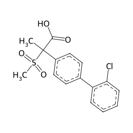 CC(C(=O)O)(c1ccc(-c2ccccc2Cl)cc1)S(C)(=O)=O